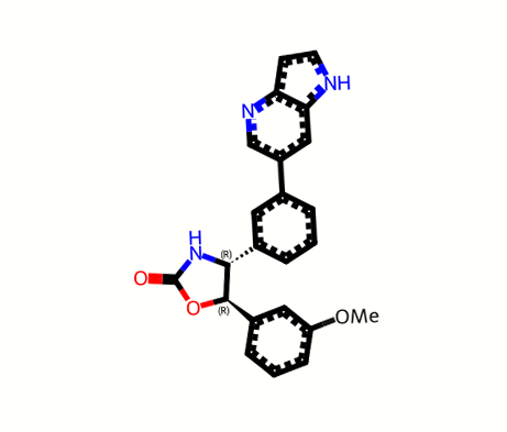 COc1cccc([C@H]2OC(=O)N[C@@H]2c2cccc(-c3cnc4cc[nH]c4c3)c2)c1